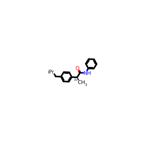 CC(C)Cc1ccc([C@H](C)C(=O)Nc2ccccc2)cc1